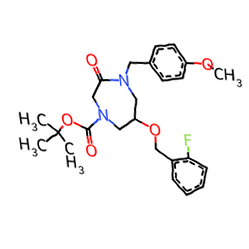 COc1ccc(CN2CC(OCc3ccccc3F)CN(C(=O)OC(C)(C)C)CC2=O)cc1